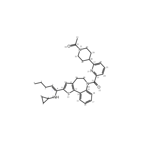 CCC/C=C(\NC1CC1)c1cc2c(s1)-c1ccccc1N(C(=O)c1cccc(C3CCN(C(C)=O)CC3)n1)CC2